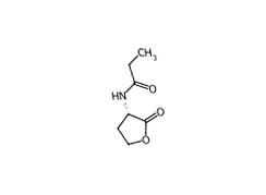 CCC(=O)N[C@H]1CCOC1=O